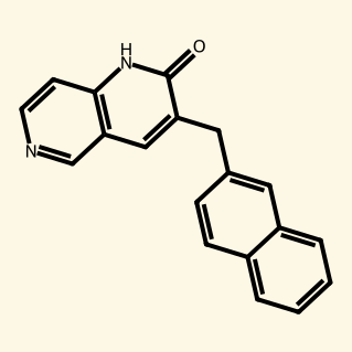 O=c1[nH]c2ccncc2cc1Cc1ccc2ccccc2c1